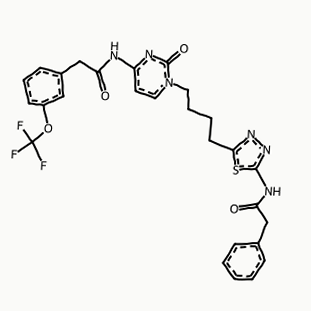 O=C(Cc1cccc(OC(F)(F)F)c1)Nc1ccn(CCCCc2nnc(NC(=O)Cc3ccccc3)s2)c(=O)n1